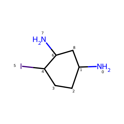 NC1CCC(I)C(N)C1